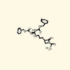 CC(=O)N1CC(CCCNC(=NC(=O)OCc2ccccc2)NC(=O)OCc2ccccc2)C1=O